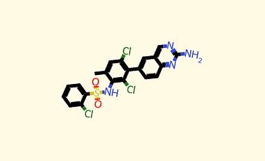 Cc1cc(Cl)c(-c2ccc3nc(N)ncc3c2)c(Cl)c1NS(=O)(=O)c1ccccc1Cl